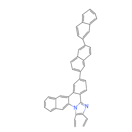 C=Cc1nc2c3ccc(-c4ccc5cc(-c6ccc7ccccc7c6)ccc5c4)cc3c3cc4ccccc4cc3n2c1C=C